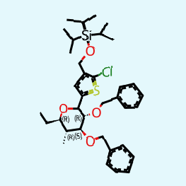 CC[C@H]1OC(c2cc(CO[Si](C(C)C)(C(C)C)C(C)C)c(Cl)s2)[C@H](OCc2ccccc2)[C@@H](OCc2ccccc2)[C@@H]1C